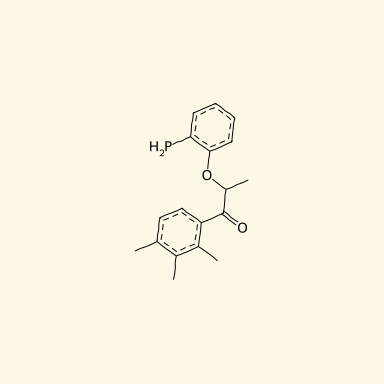 Cc1ccc(C(=O)C(C)Oc2ccccc2P)c(C)c1C